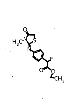 CCOC(=O)C(F)c1ccc(/N=C2\SCC(=O)N2C)cc1